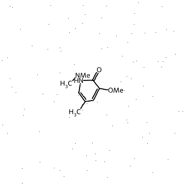 CNC.COc1cc(C)c[nH]c1=O